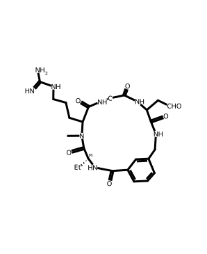 CC[C@H]1NC(=O)c2cccc(c2)CNC(=O)C(CC=O)NC(=O)CNC(=O)C(CCCNC(=N)N)N(C)C1=O